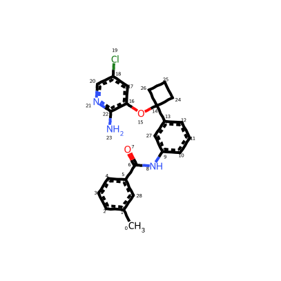 Cc1cccc(C(=O)Nc2cccc(C3(Oc4cc(Cl)cnc4N)CCC3)c2)c1